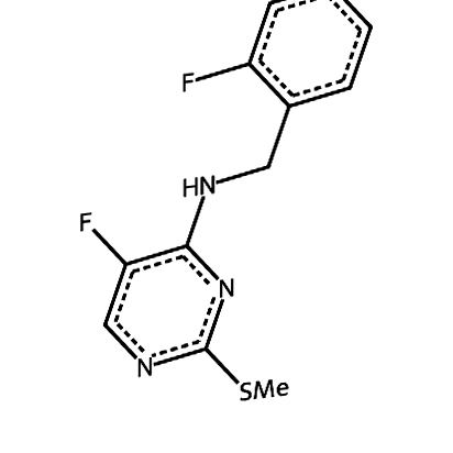 CSc1ncc(F)c(NCc2ccccc2F)n1